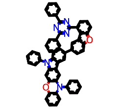 c1ccc(-c2nc(-c3ccccc3)nc(-c3cccc4oc5ccc(-c6ccc7c(c6)c6cc8c(cc6n7-c6ccccc6)Oc6ccccc6N8c6ccccc6)cc5c34)n2)cc1